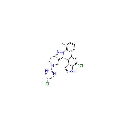 Cc1cccc2c3cc(Cl)c4[nH]ccc4c3c3c4c(nn3c12)CCN(c1ncc(Cl)cn1)C4